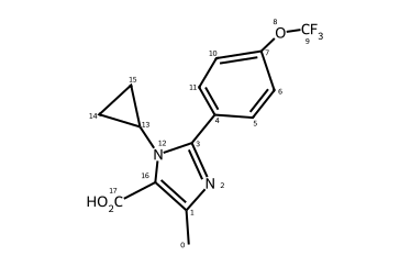 Cc1nc(-c2ccc(OC(F)(F)F)cc2)n(C2CC2)c1C(=O)O